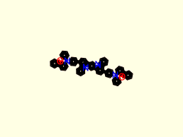 c1ccc(N(c2ccc(-c3ccc4c5cc6c(cc5n5c7ccccc7c3c45)c3ccc(-c4ccc(N(c5ccccc5)c5cccc7c5oc5ccccc57)cc4)c4c5ccccc5n6c34)cc2)c2cccc3c2oc2ccccc23)cc1